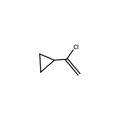 C=C(Cl)C1CC1